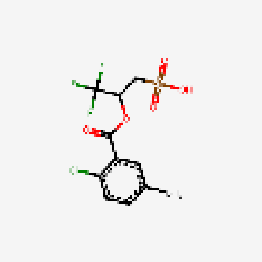 Bc1ccc(Cl)c(C(=O)OC(CS(=O)(=O)O)C(F)(F)F)c1